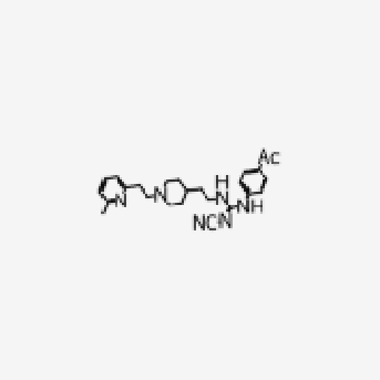 CC(=O)c1ccc(N/C(=N/C#N)NCCC2CCN(CCc3cccc(C)n3)CC2)cc1